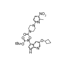 Cc1nc(N2CCN(C(=O)ON(C(=O)OC(C)(C)C)c3c[nH]c4ncc(OC5CCC5)cc34)CC2)ccc1[N+](=O)[O-]